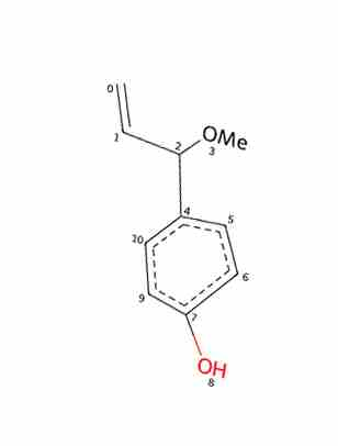 C=CC(OC)c1ccc(O)cc1